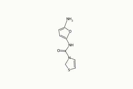 Nc1ccc(NC(=O)N2C=CSC2)o1